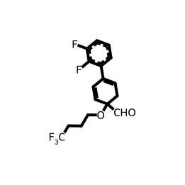 O=CC1(OCCCC(F)(F)F)C=CC(c2cccc(F)c2F)=CC1